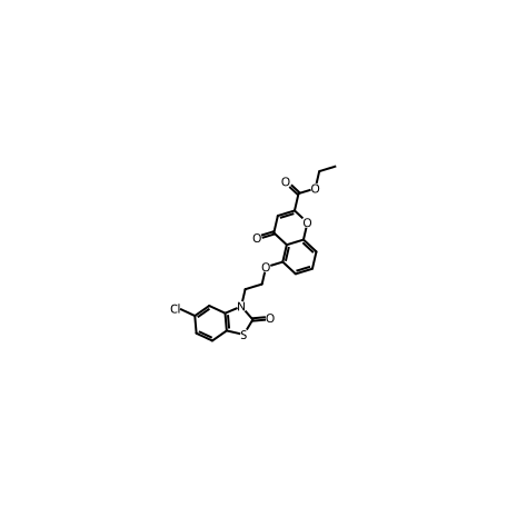 CCOC(=O)c1cc(=O)c2c(OCCn3c(=O)sc4ccc(Cl)cc43)cccc2o1